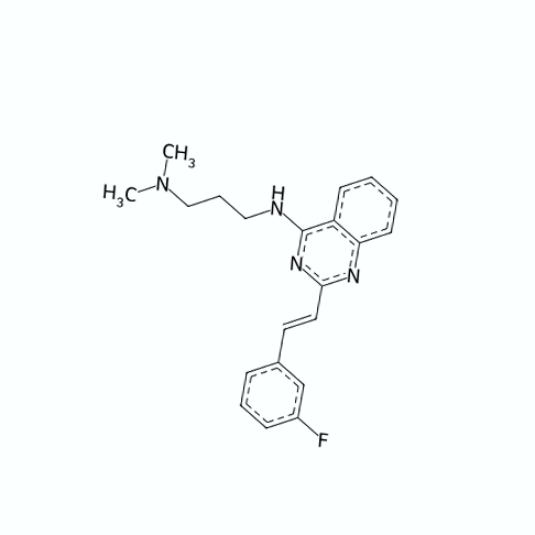 CN(C)CCCNc1nc(C=Cc2cccc(F)c2)nc2ccccc12